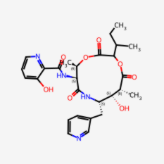 CCC(C)C1OC(=O)[C@H](C)[C@H](O)[C@H](Cc2cccnc2)NC(=O)[C@@H](NC(=O)c2ncccc2O)[C@@H](C)OC1=O